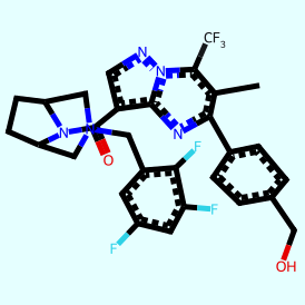 Cc1c(-c2ccc(CO)cc2)nc2c(C(=O)N3C4CCC3CN(Cc3cc(F)cc(F)c3F)C4)cnn2c1C(F)(F)F